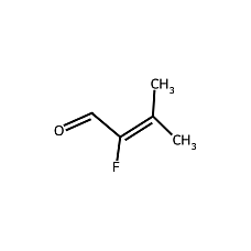 CC(C)=C(F)C=O